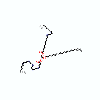 CCCCC/C=C\C/C=C\C/C=C\C/C=C\C/C=C\CCC(=O)OC[C@H](COC(=O)CCCCCCCCC/C=C\C/C=C\CCCCC)OCCCCCCCCCCCCCCCCCC